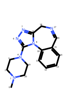 CN1CCN(c2nnc3n2-c2ccccc2C=NC3)CC1